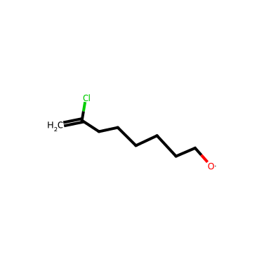 C=C(Cl)CCCCCC[O]